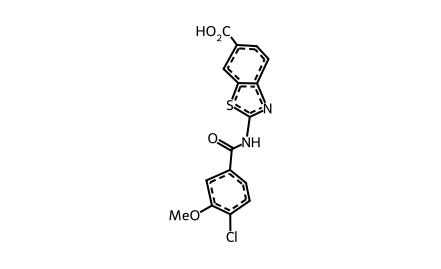 COc1cc(C(=O)Nc2nc3ccc(C(=O)O)cc3s2)ccc1Cl